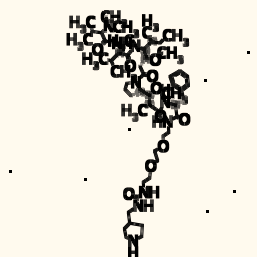 CC[C@H](C)[C@@H]([C@@H](CC(=O)N1CCC[C@H]1[C@H](OC)[C@@H](C)C(=O)N[C@H](Cc1ccccc1)C(=O)NCCOCCOCCNC(=O)NCC1CCNCC1)OC)N(C)C(=O)[C@@H](NC(=O)C(C(C)C)N(C)C)C(C)C